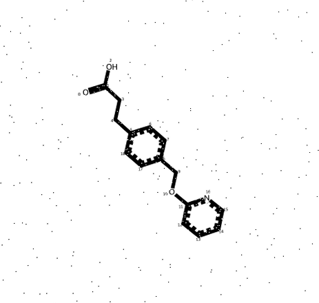 O=C(O)CCc1ccc(COc2ccccn2)cc1